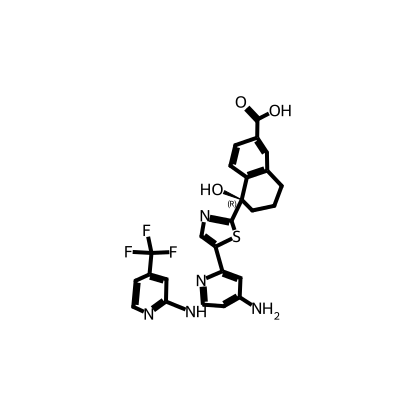 Nc1cc(Nc2cc(C(F)(F)F)ccn2)nc(-c2cnc([C@@]3(O)CCCc4cc(C(=O)O)ccc43)s2)c1